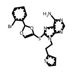 Nc1ncnc2c1nc(SC1=COC(c3ccccc3Br)O1)n2CCc1cccs1